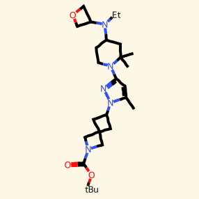 CCN(C1COC1)C1CCN(c2cc(C)n(C3CC4(C3)CN(C(=O)OC(C)(C)C)C4)n2)C(C)(C)C1